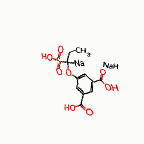 CC[C]([Na])(Oc1cc(C(=O)O)cc(C(=O)O)c1)S(=O)(=O)O.[NaH]